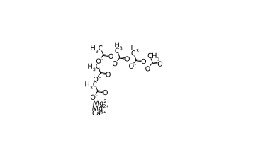 CC(=O)[O-].CC(=O)[O-].CC(=O)[O-].CC(=O)[O-].CC(=O)[O-].CC(=O)[O-].[Ca+2].[Mg+2].[Mg+2]